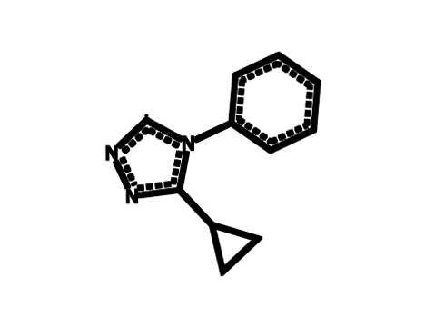 [c]1nnc(C2CC2)n1-c1ccccc1